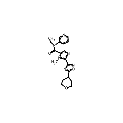 CCN(C(=O)c1cnc(-c2noc(C3CCOCC3)n2)n1C)c1cccnc1